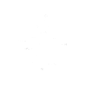 CC1CC(c2sc(Cl)cc2CCO)CC(c2ccnc(O)c2)N1